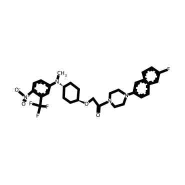 CN(c1ccc([N+](=O)[O-])c(C(F)(F)F)c1)[C@H]1CC[C@H](OCC(=O)N2CCN(c3ccc4cc(F)ccc4c3)CC2)CC1